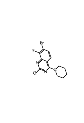 Fc1c(Br)ccc2c(N3CCCCC3)nc(Cl)nc12